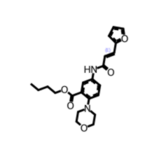 CCCCOC(=O)c1cc(NC(=O)/C=C/c2ccco2)ccc1N1CCOCC1